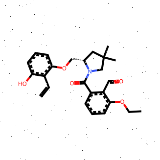 C=Cc1c(O)cccc1OC[C@@H]1CC(C)(C)CN1C(=O)c1cccc(OCC)c1C=O